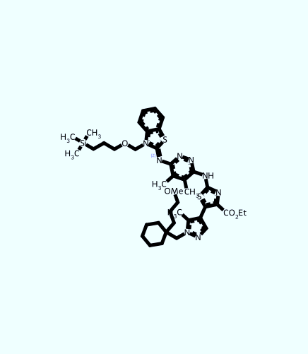 CCOC(=O)c1nc(Nc2nnc(/N=c3\sc4ccccc4n3COCCC[Si](C)(C)C)c(C)c2C)sc1-c1cnn(CC2(CCCOC)CCCCC2)c1C